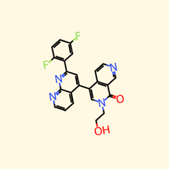 O=c1c2cnccc2c(-c2cc(-c3cc(F)ccc3F)nc3ncccc23)cn1CCO